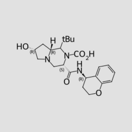 CC(C)(C)C1[C@H]2C[C@@H](O)CN2C[C@@H](C(=O)N[C@@H]2CCOc3ccccc32)N1C(=O)O